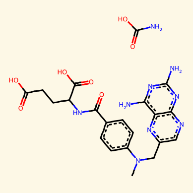 CN(Cc1cnc2nc(N)nc(N)c2n1)c1ccc(C(=O)NC(CCC(=O)O)C(=O)O)cc1.NC(=O)O